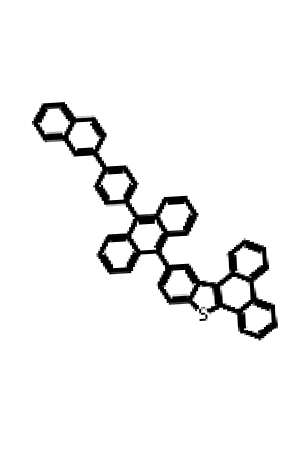 c1ccc2cc(-c3ccc(-c4c5ccccc5c(-c5ccc6sc7c8ccccc8c8ccccc8c7c6c5)c5ccccc45)cc3)ccc2c1